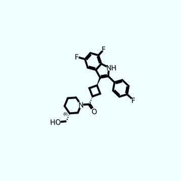 O=C([C@H]1C[C@H](c2c(-c3ccc(F)cc3)[nH]c3c(F)cc(F)cc32)C1)N1CCC[C@@H](CO)C1